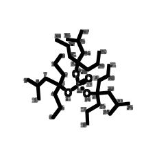 CCCC(CCC)(CC(C)C)OP(=O)(OC(CCC)(CCC)CC(C)C)OC(CCC)(CCC)CC(C)C